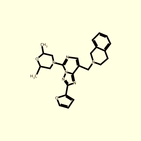 CC1CN(c2ncc(CN3CCc4ccccc4C3)c3nc(-c4ccco4)nn23)CC(C)O1